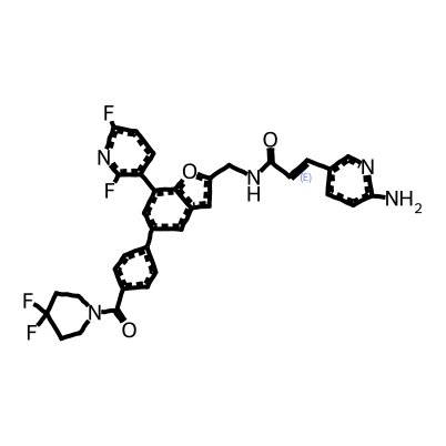 Nc1ccc(/C=C/C(=O)NCc2cc3cc(-c4ccc(C(=O)N5CCC(F)(F)CC5)cc4)cc(-c4ccc(F)nc4F)c3o2)cn1